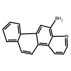 Bc1cc2c3ccccc3ccc2c2cccnc12